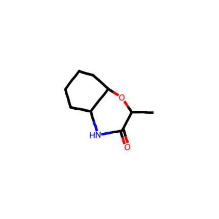 CC1OC2CCCCC2NC1=O